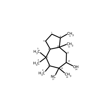 CC1C(C)(C)C2CCC(C)C2(C)CC(O)C1(C)C#N